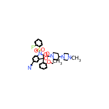 CCOc1ccccc1C1(OC(=O)N2CCC(N3CCN(C)CC3)CC2)C(=O)N(S(=O)(=O)c2ccccc2F)c2ccc(C#N)cc21